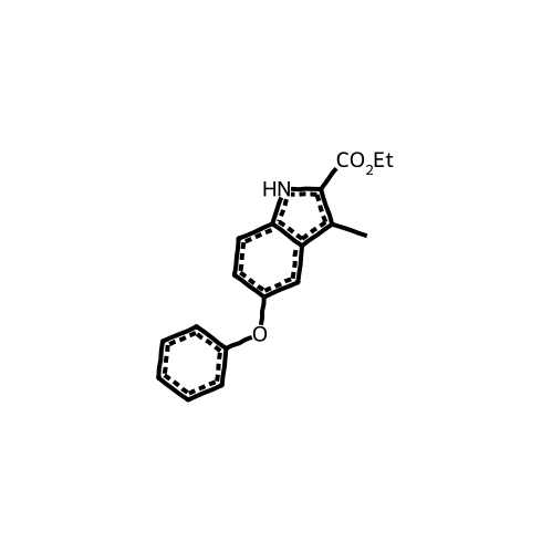 CCOC(=O)c1[nH]c2ccc(Oc3ccccc3)cc2c1C